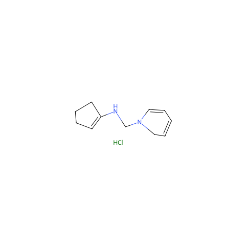 C1=CCN(CNC2=CCCC2)C=C1.Cl